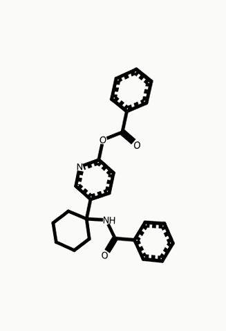 O=C(NC1(c2ccc(OC(=O)c3ccccc3)nc2)CCCCC1)c1ccccc1